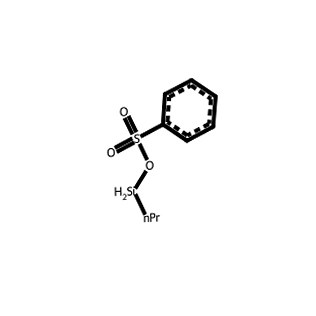 CCC[SiH2]OS(=O)(=O)c1ccccc1